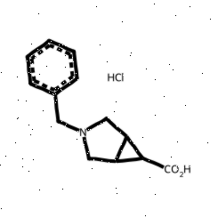 Cl.O=C(O)C1C2CN(Cc3ccccc3)CC21